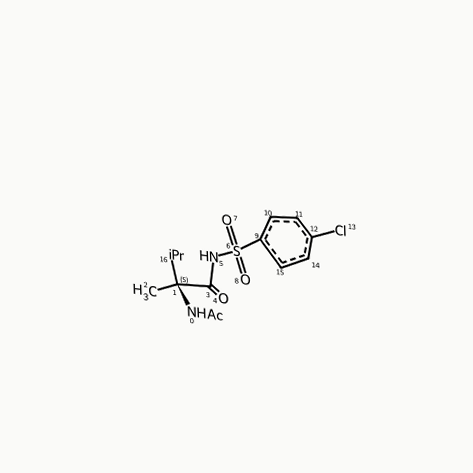 CC(=O)N[C@](C)(C(=O)NS(=O)(=O)c1ccc(Cl)cc1)C(C)C